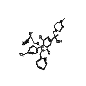 CN1CCN(CC(C)(O)c2cc(F)c3c(c2)C(=O)N(Cc2ccccn2)[C@@]3(OCC2(C#N)CC2)c2ccc(Cl)cc2)CC1